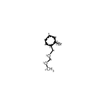 COCOCc1ccccc1Br